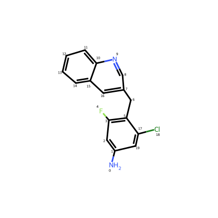 Nc1cc(F)c(Cc2cnc3ccccc3c2)c(Cl)c1